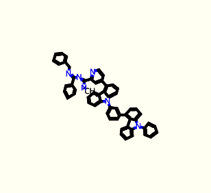 C=N/C(=N\C(=N/Cc1ccccc1)c1ccccc1)c1cc(-c2cccc3c2c2ccccc2n3-c2cccc(-c3cccc4c3c3ccccc3n4-c3ccccc3)c2)ccn1